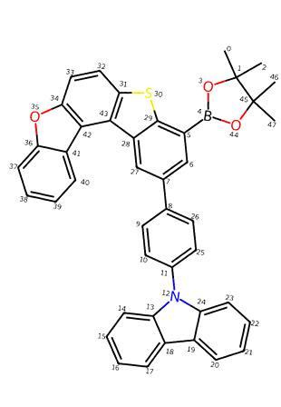 CC1(C)OB(c2cc(-c3ccc(-n4c5ccccc5c5ccccc54)cc3)cc3c2sc2ccc4oc5ccccc5c4c23)OC1(C)C